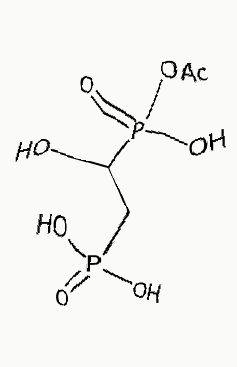 CC(=O)OP(=O)(O)C(O)CP(=O)(O)O